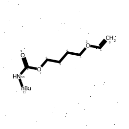 C=COCCCCOC(=O)NCCCC